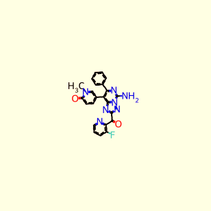 Cn1cc(-c2c(-c3ccccc3)nc(N)n3nc(C(=O)c4ncccc4F)nc23)ccc1=O